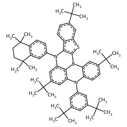 CC(C)(C)c1cc(N2c3ccc(C(C)(C)C)cc3B3c4sc5cc(C(C)(C)C)ccc5c4N(c4ccc5c(c4)C(C)(C)CCC5(C)C)c4cc(C(C)(C)C)cc2c43)cc(C(C)(C)C)c1